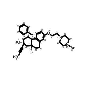 CC#C[C@@]1(O)CC[C@@]2(Cc3ccccc3)c3ccc(OCCN4CCN(C(C)=O)CC4)cc3CC[C@@H]2C1